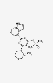 C[C@@H]1COCCN1c1cc(N=S(C)(C)=O)nc(-c2cncc3[nH]ccc23)n1